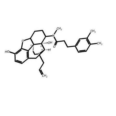 C=CCN1CC[C@]23c4c5ccc(O)c4OC2CCC(N(C)C(=O)CCc2ccc(C)c(C)c2)[C@@]3(O)[C@H]1C5